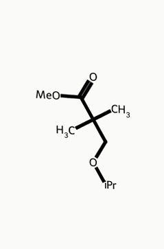 COC(=O)C(C)(C)COC(C)C